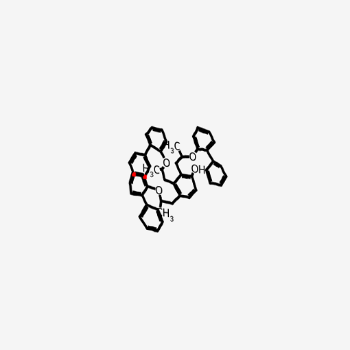 CC(Cc1ccc(O)c(CC(C)Oc2ccccc2-c2ccccc2)c1CC(C)Oc1ccccc1-c1ccccc1)Oc1ccccc1-c1ccccc1